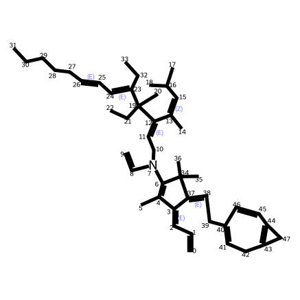 C=C/C=C1/C(C)=C(N(C=C)C/C=C(\C(C)=C/C(C)C)C(C)(CC)/C(=C/C=C/CCCCC)CC)C(C)(C)/C1=C/CC1=CCC2=C(C=C1)C2